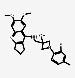 COc1cc2nc3c(c(NCC4(O)CN(c5ccc(C)cc5F)C4)c2cc1OC)CCC3